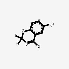 CC1(C)N=C(Cl)c2cc(C#N)ccc2O1